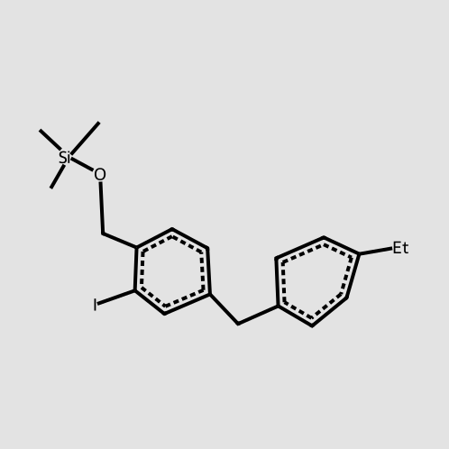 CCc1ccc(Cc2ccc(CO[Si](C)(C)C)c(I)c2)cc1